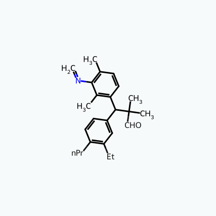 C=Nc1c(C)ccc(C(c2ccc(CCC)c(CC)c2)C(C)(C)C=O)c1C